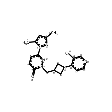 Cc1cc(C)n(-c2ccc(=O)n(CC3CN(c4ccncc4Cl)C3)n2)n1